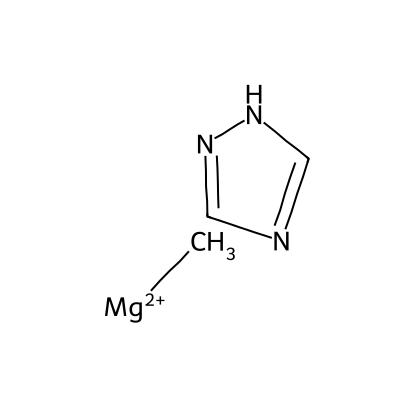 [CH3][Mg+2].c1nc[nH]n1